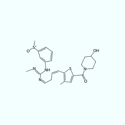 C/N=C(\N=C/C/C=C\c1sc(C(=O)N2CCC(O)CC2)cc1C)Nc1cccc([S+](C)[O-])c1